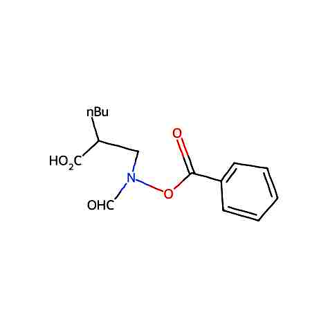 CCCCC(CN(C=O)OC(=O)c1ccccc1)C(=O)O